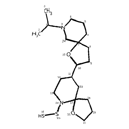 CC(C)N1CCCC2(CCC(C3CCN(SS)C4(CCCO4)C3)O2)C1